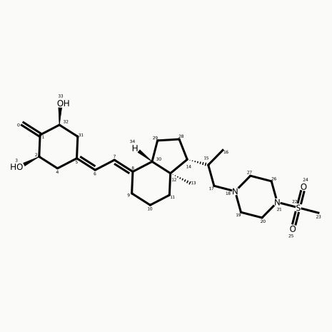 C=C1[C@H](O)C/C(=C/C=C2CCC[C@]3(C)[C@@H](C(C)CN4CCN(S(C)(=O)=O)CC4)CC[C@@H]23)C[C@@H]1O